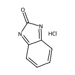 Cl.O=C1N=c2ccccc2=N1